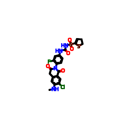 CNc1cc2c(cc1Cl)C(=O)N(c1ccc(NC(=O)NS(=O)(=O)C3=CCCS3)cc1F)C(=O)C2